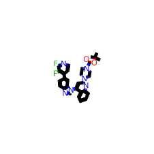 CC(C)(C)OC(=O)N1CCN(c2cc(-n3cnc4ccc(-c5ccnc(F)c5F)cc43)c3ccccc3n2)CC1